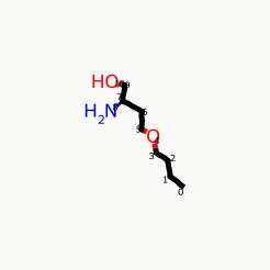 CCCCOCC[C@@H](N)CO